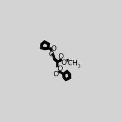 CCOC(=O)C(=CCOC(=O)c1ccccc1)COC(=O)c1ccccc1